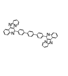 c1ccc2c(c1)nc(-c1ccc(-c3ccc(-c4ccc(-c5nc6ccccc6c6nc7ccccn7c56)cc4)cc3)cc1)c1c2nc2ccccn21